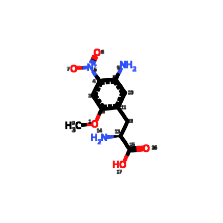 COc1cc([N+](=O)[O-])c(N)cc1C[C@H](N)C(=O)O